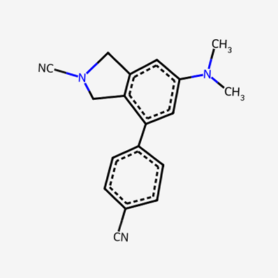 CN(C)c1cc2c(c(-c3ccc(C#N)cc3)c1)CN(C#N)C2